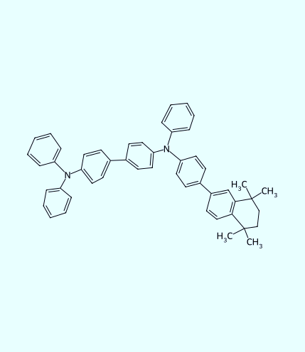 CC1(C)CCC(C)(C)c2cc(-c3ccc(N(c4ccccc4)c4ccc(-c5ccc(N(c6ccccc6)c6ccccc6)cc5)cc4)cc3)ccc21